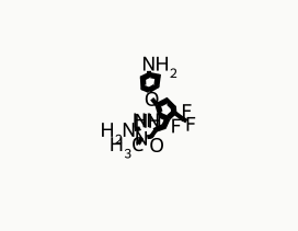 CN(C(=N)N)C(=O)c1cc2c(C(F)(F)F)ccc(Oc3ccc(N)cc3)c2[nH]1